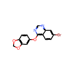 Brc1ccc2c(Oc3ccc4c(c3)OCO4)ncnc2c1